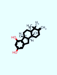 C=C1CC[C@]2(C)[C@H]3Cc4cc(O)cc(O)c4[C@]3(C)CC[C@H]2C1(C)C